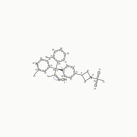 C/C(=N/O)[C@](c1ccc(C2CN(S(C)(=O)=O)C2)cc1)(c1ccnc(C)c1)c1ccccc1C